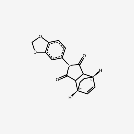 O=C1C2C(C(=O)N1c1ccc3c(c1)OCO3)[C@H]1C=C[C@@H]2CC1